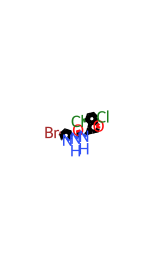 O=C(Nc1ccc(Br)cn1)NC1C2COc3c(Cl)ccc(Cl)c3C21